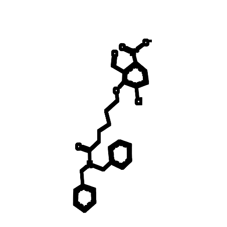 O=Cc1c([N+](=O)[O-])ccc(Cl)c1OCCCCCC(=O)N(Cc1ccccc1)Cc1ccccc1